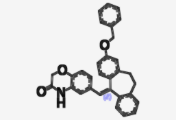 O=C1COc2ccc(/C=C3/c4ccccc4CCc4cc(OCc5ccccc5)ccc43)cc2N1